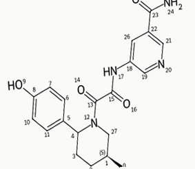 C[C@H]1CCC(c2ccc(O)cc2)N(C(=O)C(=O)Nc2cncc(C(N)=O)c2)C1